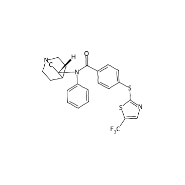 O=C(c1ccc(Sc2ncc(C(F)(F)F)s2)cc1)N(c1ccccc1)[C@H]1CN2CCC1CC2